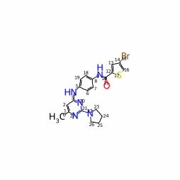 Cc1cc(Nc2ccc(NC(=O)c3cc(Br)cs3)cc2)nc(N2CCCC2)n1